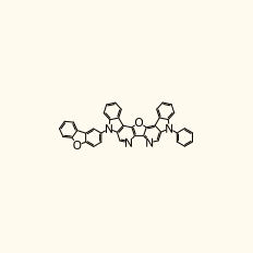 c1ccc(-n2c3ccccc3c3c4oc5c(ncc6c5c5ccccc5n6-c5ccc6oc7ccccc7c6c5)c4ncc32)cc1